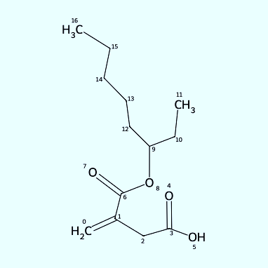 C=C(CC(=O)O)C(=O)OC(CC)CCCCC